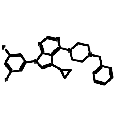 Fc1cc(F)cc(-n2cc(C3CC3)c3c(N4CCN(Cc5ccccc5)CC4)ncnc32)c1